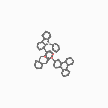 c1ccc(-n2c3ccccc3c3cccc(-c4ccc(-c5ccc6c7ccccc7c7ccccc7c6c5)c5c4C4c6ccccc6C5c5ccccc54)c32)cc1